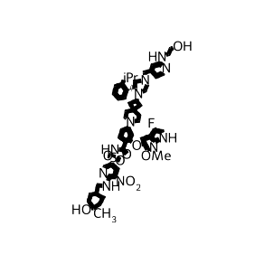 COc1nc2[nH]cc(F)c2cc1Oc1cc(N2CCC3(CC2)CC(N2CCN(Cc4ccnc(NCCO)c4)C[C@H]2c2ccccc2C(C)C)C3)ccc1C(=O)NS(=O)(=O)c1cnc(NCC2CCC(C)(O)CC2)c([N+](=O)[O-])c1